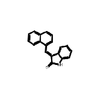 O=C1Nc2ccccc2/C1=C\c1cccc2ccccc12